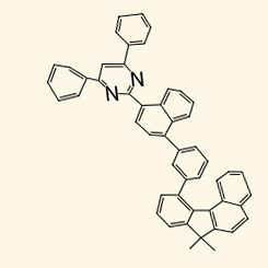 CC1(C)c2cccc(-c3cccc(-c4ccc(-c5nc(-c6ccccc6)cc(-c6ccccc6)n5)c5ccccc45)c3)c2-c2c1ccc1ccccc21